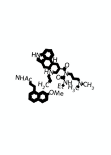 C=CCN1C[C@H](C(=O)N(CCCN(C)C)C(=O)NCC)C[C@@H]2c3cccc4[nH]cc(c34)C[C@H]21.COc1ccc2cccc(CCNC(C)=O)c2c1